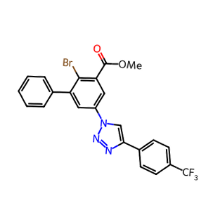 COC(=O)c1cc(-n2cc(-c3ccc(C(F)(F)F)cc3)nn2)cc(-c2ccccc2)c1Br